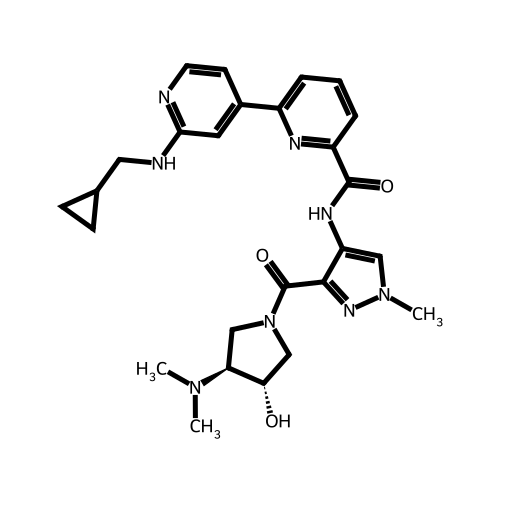 CN(C)[C@H]1CN(C(=O)c2nn(C)cc2NC(=O)c2cccc(-c3ccnc(NCC4CC4)c3)n2)C[C@@H]1O